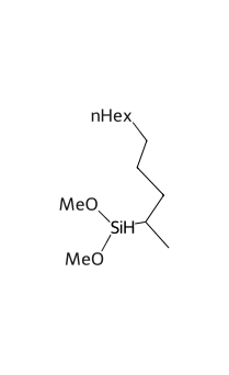 CCCCCCCCCC(C)[SiH](OC)OC